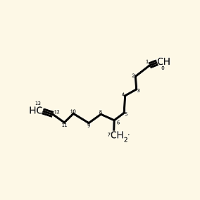 C#CCCCCC([CH2])CCCCC#C